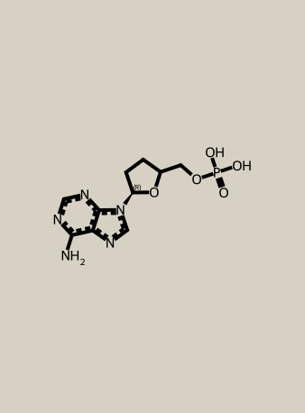 Nc1ncnc2c1ncn2[C@H]1CCC(COP(=O)(O)O)O1